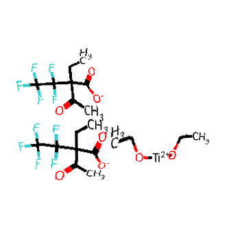 CCC(C(C)=O)(C(=O)[O-])C(F)(F)C(F)(F)F.CCC(C(C)=O)(C(=O)[O-])C(F)(F)C(F)(F)F.CC[O][Ti+2][O]CC